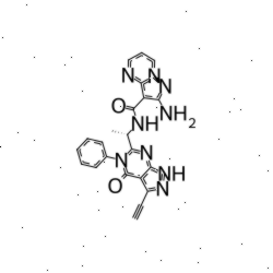 C#Cc1n[nH]c2nc([C@H](C)NC(=O)c3c(N)nn4cccnc34)n(-c3ccccc3)c(=O)c12